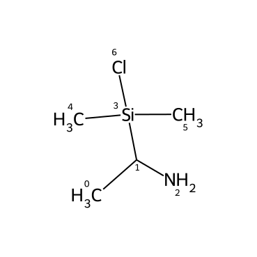 CC(N)[Si](C)(C)Cl